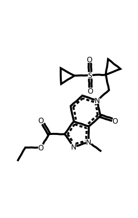 CCOC(=O)c1nn(C)c2c(=O)n(CC3(S(=O)(=O)C4CC4)CC3)ccc12